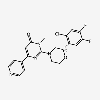 Cn1c(N2CCO[C@@H](c3cc(F)c(F)cc3Cl)C2)nc(-c2ccncc2)cc1=O